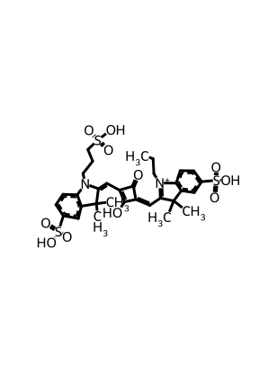 CCC[N+]1=C(/C=C2\C(=O)C(/C=C3/N(CCCS(=O)(=O)O)c4ccc(S(=O)(=O)O)cc4C3(C)C)=C2O)C(C)(C)c2cc(S(=O)(=O)O)ccc21